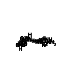 NCc1c(N)ccnc1C1CN([C@H]2C[C@H](CCCNc3ccc4c(c3)C(=O)N(C3CCC(=O)NC3=O)C4=O)C2)N=C1C1CC1